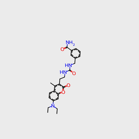 CCN(CC)c1ccc2c(C)c(CCNC(=O)NCc3cccc(C(N)=O)c3)c(=O)oc2c1